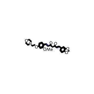 COc1cc(OCCN2CCOCC2)ccc1/C=C/C(=O)CC(=O)/C=C/c1ccc2c(c1)OCO2